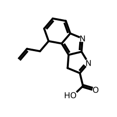 C=CCC1C=CC=C2N=C3N=C(C(=O)O)CC3=C21